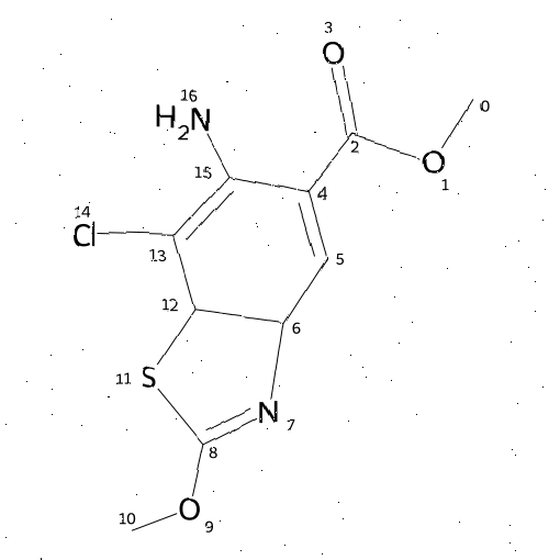 COC(=O)C1=CC2N=C(OC)SC2C(Cl)=C1N